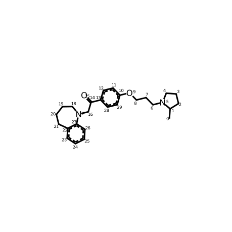 CC1CCCN1CCCOc1ccc(C(=O)CN2CCCCc3ccccc32)cc1